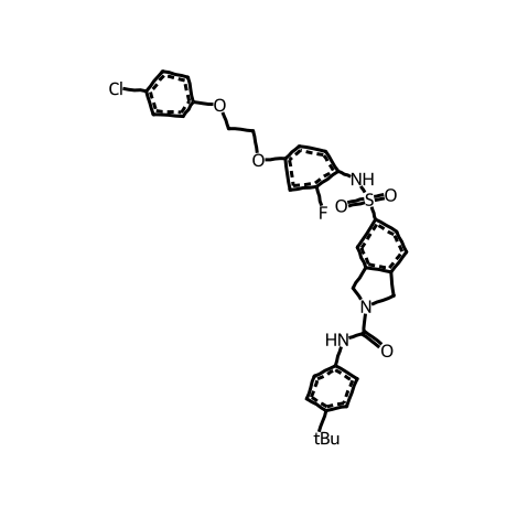 CC(C)(C)c1ccc(NC(=O)N2Cc3ccc(S(=O)(=O)Nc4ccc(OCCOc5ccc(Cl)cc5)cc4F)cc3C2)cc1